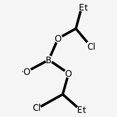 CCC(Cl)OB([O])OC(Cl)CC